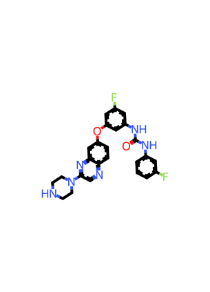 O=C(Nc1cccc(F)c1)Nc1cc(F)cc(Oc2ccc3ncc(N4CCNCC4)nc3c2)c1